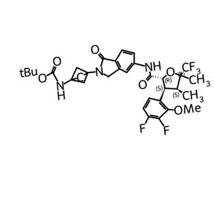 COc1c([C@H]2[C@H](C(=O)Nc3ccc4c(c3)CN(C35CC(NC(=O)OC(C)(C)C)(C3)C5)C4=O)O[C@@](C)(C(F)(F)F)[C@H]2C)ccc(F)c1F